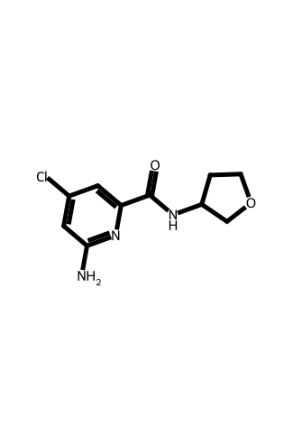 Nc1cc(Cl)cc(C(=O)NC2CCOC2)n1